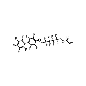 C=CC(=O)OCC(F)(F)C(F)(F)C(F)(F)C(F)(F)COc1c(F)c(F)c(-c2c(F)c(F)c(F)c(F)c2F)c(F)c1F